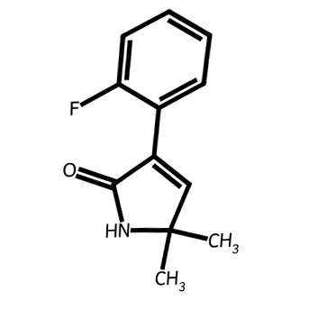 CC1(C)C=C(c2ccccc2F)C(=O)N1